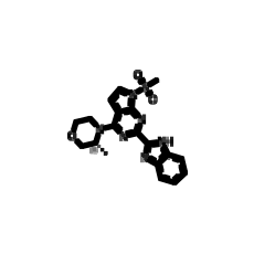 C[C@@H]1COCCN1c1nc(-c2nc3ccccc3[nH]2)nc2c1ccn2S(C)(=O)=O